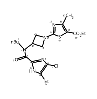 CCCCN(C(=O)c1nc(Cl)c(CC)[nH]1)C1CN(c2nc(C)c(C(=O)OCC)s2)C1